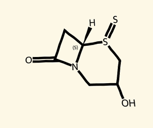 O=C1C[C@H]2N1CC(O)CS2=S